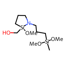 CO[Si](C)(CCCN1CCC[Si]1(CO)OC)OC